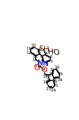 O=Cc1ccccc1-c1c(S)cccc1CNC(=O)OCC1c2ccccc2-c2ccccc21